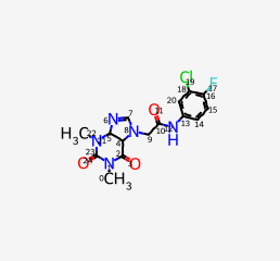 CN1C(=O)C2C(N=CN2CC(=O)Nc2ccc(F)c(Cl)c2)N(C)C1=O